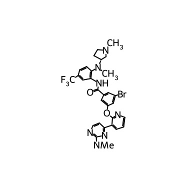 CNc1nccc(-c2cccnc2Oc2cc(Br)cc(C(=O)Nc3cc(C(F)(F)F)ccc3N(C)[C@H]3CCN(C)C3)c2)n1